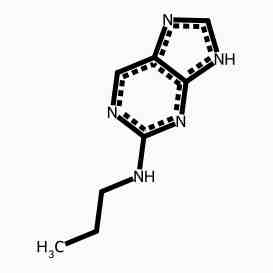 CCCNc1ncc2nc[nH]c2n1